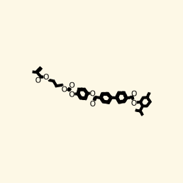 C=C(C)C(=O)OCCCCOC(=O)Oc1ccc(OC(=O)c2ccc(-c3ccc(C(=O)OC4CC(C)CCC4C(C)C)cc3)cc2)cc1